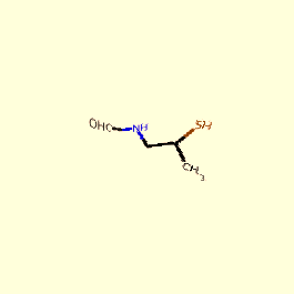 CC(S)CNC=O